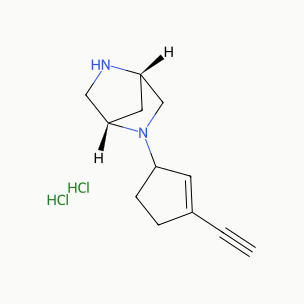 C#CC1=CC(N2C[C@@H]3C[C@H]2CN3)CC1.Cl.Cl